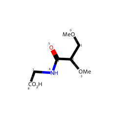 COCC(OC)C(=O)NCC(=O)O